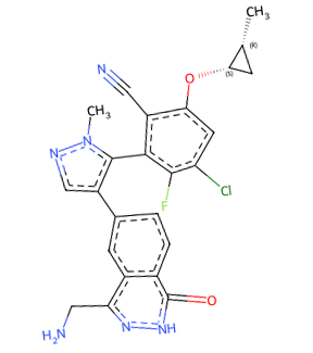 C[C@@H]1C[C@@H]1Oc1cc(Cl)c(F)c(-c2c(-c3ccc4c(=O)[nH]nc(CN)c4c3)cnn2C)c1C#N